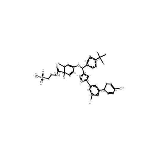 CC1C=C(OC(c2ccc(C(C)(C)C)cc2)c2cc(-c3cc(F)cc(C4C=CC(Cl)=CC4)c3)on2)C=CC1(C)C(=O)NCCS(=O)(=O)O